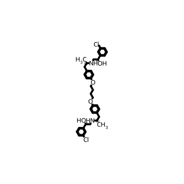 C[C@H](Cc1ccc(OCCCCOc2ccc(C[C@@H](C)NC[C@H](O)c3cccc(Cl)c3)cc2)cc1)NC[C@H](O)c1cccc(Cl)c1